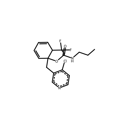 CCCNC(=O)OC1(Cc2cnccc2Cl)C=CC=CC1C(F)(F)F